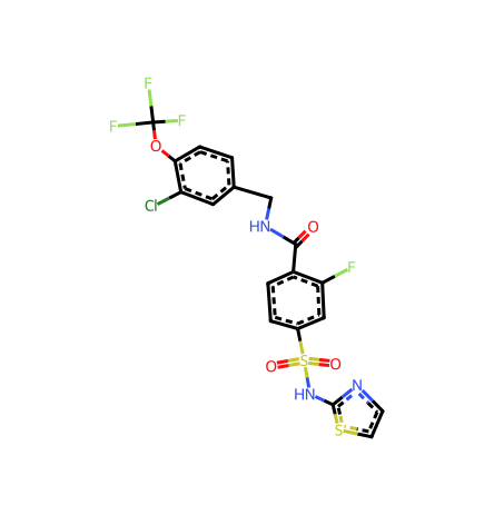 O=C(NCc1ccc(OC(F)(F)F)c(Cl)c1)c1ccc(S(=O)(=O)Nc2nccs2)cc1F